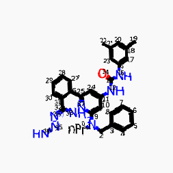 CCCN(Cc1ccccc1)c1cc(NC(=O)Nc2cc(C)cc(C)c2)cc(-c2ccccc2/C(N)=N/N=N)n1